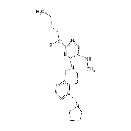 CCCC[S+]([O-])c1ncc(NC)c(N(C=O)Cc2cccc(CN3CCCC3)c2)n1